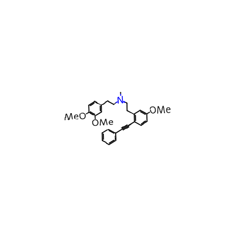 COc1ccc(C#Cc2ccccc2)c(CCN(C)CCc2ccc(OC)c(OC)c2)c1